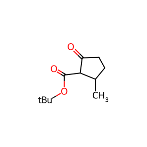 CC1CCC(=O)C1C(=O)OC(C)(C)C